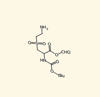 CC(C)(C)OC(=O)NC(CS(=O)(=O)CCN)C(=O)OC=O